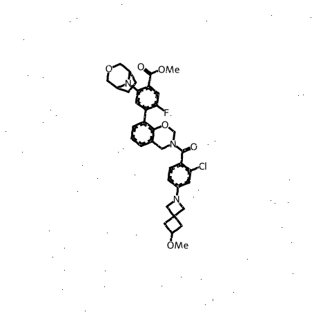 COC(=O)c1cc(F)c(-c2cccc3c2OCN(C(=O)c2ccc(N4CC5(CC(OC)C5)C4)cc2Cl)C3)cc1N1C2CCC1COC2